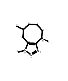 CC1CCC[C@@H](I)c2nnn(C)c2C1